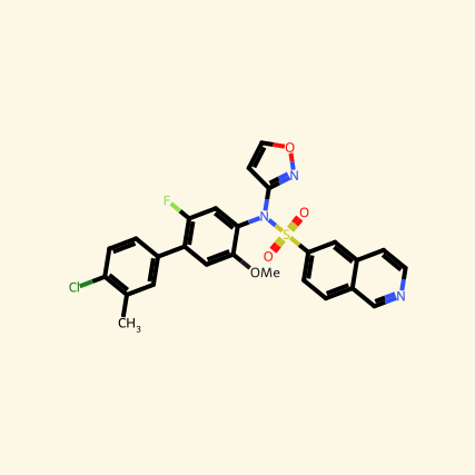 COc1cc(-c2ccc(Cl)c(C)c2)c(F)cc1N(c1ccon1)S(=O)(=O)c1ccc2cnccc2c1